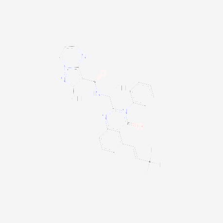 Cc1nn2cccnc2c1C(=O)N[C@H](C)c1nc2cccc(/C=C/C(F)(F)F)c2c(=O)n1-c1ccccc1